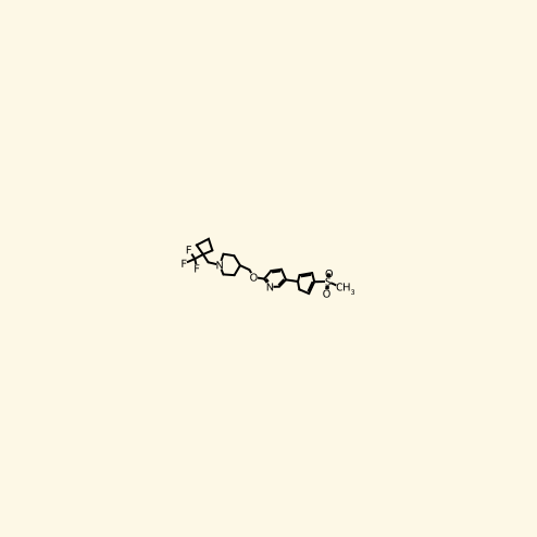 CS(=O)(=O)C1=CCC(c2ccc(OCC3CCN(CC4(C(F)(F)F)CCC4)CC3)nc2)C=C1